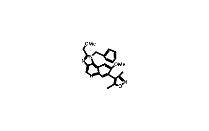 COCc1nc2cnc3cc(-c4c(C)noc4C)c(OC)cc3c2n1Cc1ccccc1